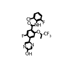 C[C@H](Oc1cc(-c2cnc(O)cn2)c(F)cc1C(=O)Nc1c(F)cccc1Cl)C(F)(F)F